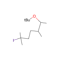 CC(CCC(C)(C)I)C(C)OC(C)(C)C